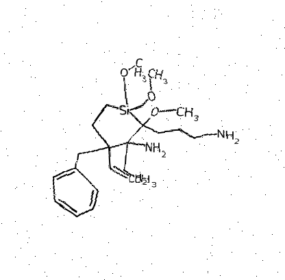 C=CC1(Cc2ccccc2)CC[Si](OC)(OC)C(CCCN)(OC)C1(N)CC